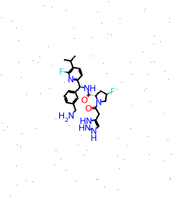 CC(C)c1ccc([C@@H](NC(=O)[C@@H]2C[C@@H](F)CN2C(=O)CC2=CNNN2)c2cccc(CN)c2)nc1F